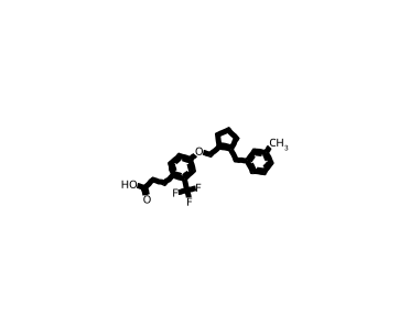 Cc1cccc(CC2=C(COc3ccc(CCC(=O)O)c(C(F)(F)F)c3)CCC2)c1